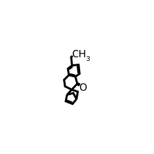 CCc1ccc2c(c1)CCC1(CC3C=CC1C3)C2=O